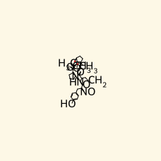 C=CCC(NC(=O)C(Cc1ccc(O)cc1)N=O)C(=O)N1CCCC1C(=O)OC1CC2CCC1(C)C2(C)C